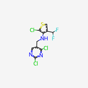 FC(F)c1csc(Cl)c1NCc1cnc(Cl)nc1Cl